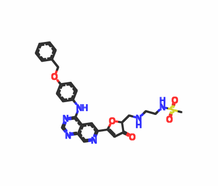 CS(=O)(=O)NCCNCC1OC(c2cc3c(Nc4ccc(OCc5ccccc5)cc4)ncnc3cn2)=CC1=O